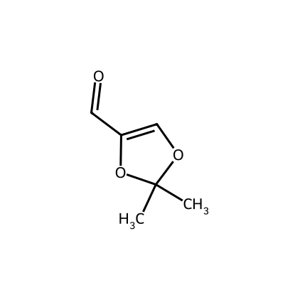 CC1(C)OC=C(C=O)O1